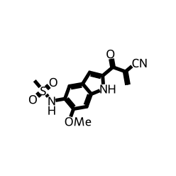 C=C(C#N)C(=O)c1cc2cc(NS(C)(=O)=O)c(OC)cc2[nH]1